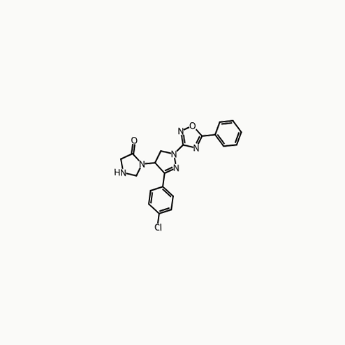 O=C1CNCN1C1CN(c2noc(-c3ccccc3)n2)N=C1c1ccc(Cl)cc1